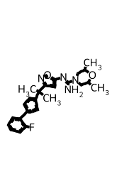 CC1CN(/C(N)=N/c2cc(C(C)(C)c3ccc(-c4ccccc4F)cc3)no2)CC(C)O1